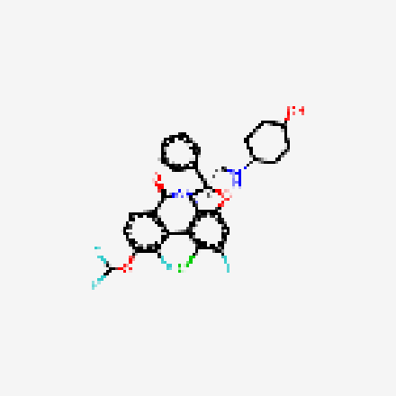 NC(=O)c1ccc(OC(F)F)c(F)c1-c1c(Cl)c(F)cc2c1C[C@@](CN[C@H]1CC[C@H](O)CC1)(c1ccccc1)O2